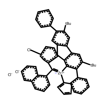 CC(C)(C)c1cc2c(cc1-c1ccccc1)Cc1c-2cc(C(C)(C)C)c(-c2ccccc2)[c]1/[Zr+2]([C]1=CC=CC1)=[C](\c1cccc(Cl)c1)c1cccc2ccccc12.[Cl-].[Cl-]